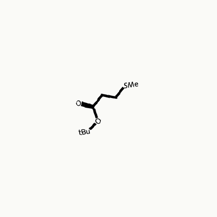 CSCCC(=O)OC(C)(C)C